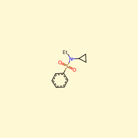 [CH2]CN(C1CC1)S(=O)(=O)c1ccccc1